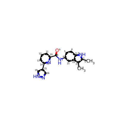 Cc1[nH]c2ccc(NC(=O)c3cccc(-c4cn[nH]c4)n3)cc2c1C